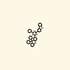 c1ccc(-c2nc(-c3ccc4c(c3)C(c3ccccc3)(c3ccccc3)c3ccccc3S4)nc(-c3ccc4oc5ccccc5c4c3)n2)cc1